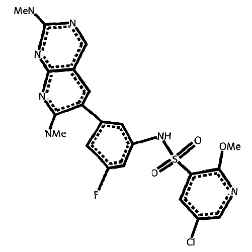 CNc1ncc2cc(-c3cc(F)cc(NS(=O)(=O)c4cc(Cl)cnc4OC)c3)c(NC)nc2n1